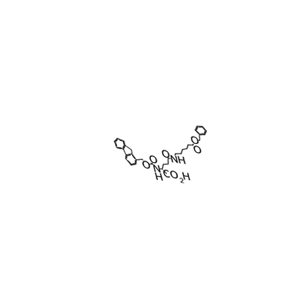 O=C(CC[C@H](NC(=O)OCc1cccc2c1Cc1ccccc1-2)C(=O)O)NCCCCCC(=O)OCc1ccccc1